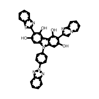 Oc1cc2c(c(O)c1-c1cn3ccccc3n1)c1c(O)c(-c3nc4ccccc4s3)c(O)cc1n2-c1ccc(-n2nc3ccccc3n2)cc1